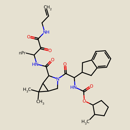 C=CCNC(=O)C(=O)C(CCC)NC(=O)C1C2C(CN1C(=O)C(NC(=O)OC1CCCC1C)C1Cc3ccccc3C1)C2(C)C